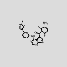 Cc1nnc(-c2cccc(Nc3ncnc4[nH]cc(C(=O)c5c(F)ccc(N)c5F)c34)c2)o1